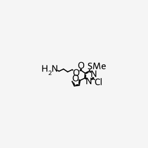 CSc1nc(Cl)nc(-c2ccco2)c1C(=O)OCCCCN